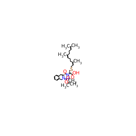 CC(C)=CCCC(C)=CCCC(C)=CCSC[C@H](NC(=O)[C@H]1Cc2ccccc2CN1C(=O)OC(C)(C)C)C(=O)O